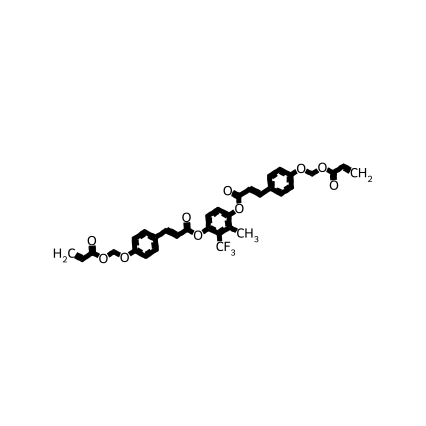 C=CC(=O)OCOc1ccc(C=CC(=O)Oc2ccc(OC(=O)C=Cc3ccc(OCOC(=O)C=C)cc3)c(C(F)(F)F)c2C)cc1